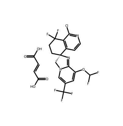 FC(F)OC1=CC(C(F)(F)F)=CN2C[C@@]3(CCC(F)(F)c4c3ccnc4Cl)N=C12.O=C(O)/C=C/C(=O)O